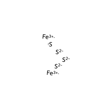 [Fe+3].[Fe+3].[S-2].[S-2].[S-2].[S]